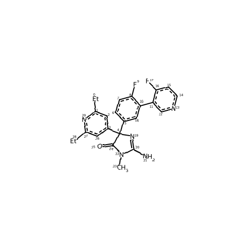 CCc1cc(C2(c3ccc(F)c(-c4cnccc4F)c3)N=C(N)N(C)C2=O)cc(CC)n1